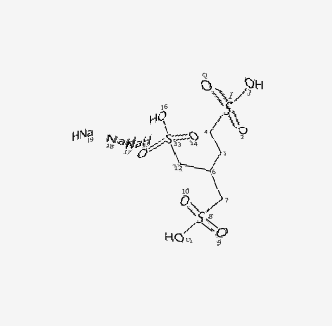 O=S(=O)(O)CCC(CS(=O)(=O)O)CS(=O)(=O)O.[NaH].[NaH].[NaH]